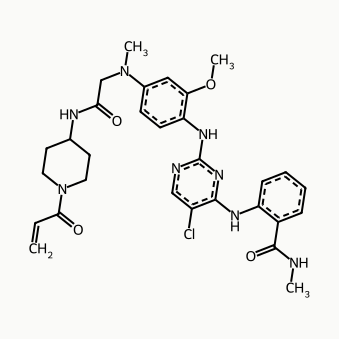 C=CC(=O)N1CCC(NC(=O)CN(C)c2ccc(Nc3ncc(Cl)c(Nc4ccccc4C(=O)NC)n3)c(OC)c2)CC1